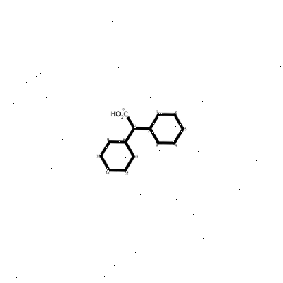 O=C(O)C(C1CCCCC1)C1CCCCC1